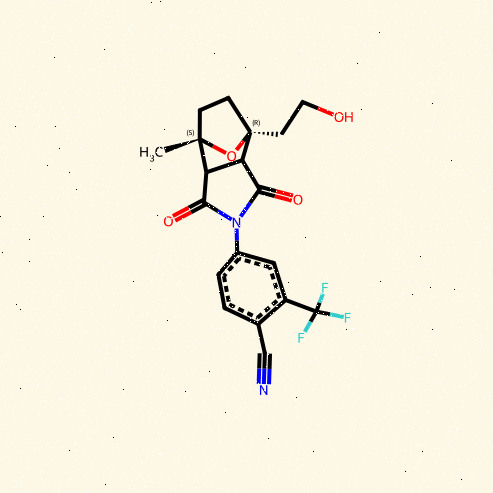 C[C@@]12CC[C@](CCO)(O1)C1C(=O)N(c3ccc(C#N)c(C(F)(F)F)c3)C(=O)C12